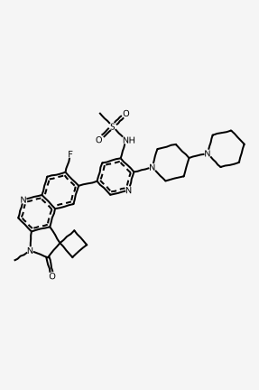 CN1C(=O)C2(CCC2)c2c1cnc1cc(F)c(-c3cnc(N4CCC(N5CCCCC5)CC4)c(NS(C)(=O)=O)c3)cc21